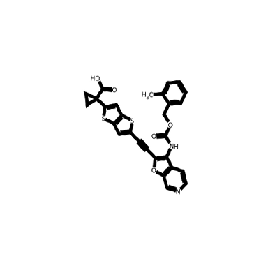 Cc1ccccc1COC(=O)Nc1c(C#Cc2cc3sc(C4(C(=O)O)CC4)cc3s2)oc2cnccc12